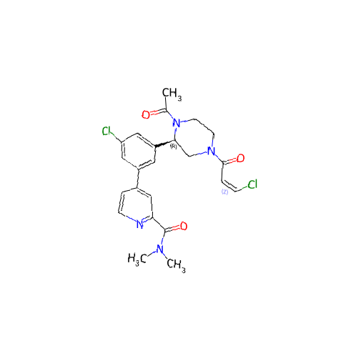 CC(=O)N1CCN(C(=O)/C=C\Cl)C[C@H]1c1cc(Cl)cc(-c2ccnc(C(=O)N(C)C)c2)c1